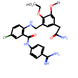 CCOc1cc(CC(N)=O)cc(CNc2ccc(Cl)cc2C(=O)Nc2ccc(C(=N)N)cc2)c1OCC(=O)O